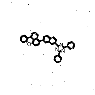 C1=CC(c2nc(-c3ccccc3)nc(-c3ccc4ccc(-c5ccc6c7c(cccc57)-c5ccccc5O6)cc4c3)n2)=CCC1